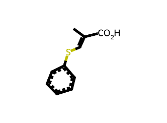 CC(=CSc1ccccc1)C(=O)O